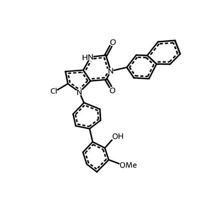 COc1cccc(-c2ccc(-n3c(Cl)cc4[nH]c(=O)n(-c5ccc6ccccc6c5)c(=O)c43)cc2)c1O